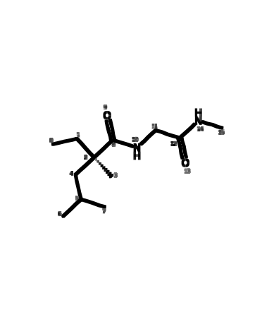 CC[C@](C)(CC(C)C)C(=O)NCC(=O)NC